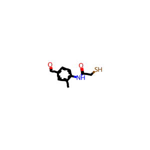 Cc1cc(C=O)ccc1NC(=O)CS